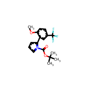 COc1ccc(C(F)(F)F)cc1-c1cccn1C(=O)OC(C)(C)C